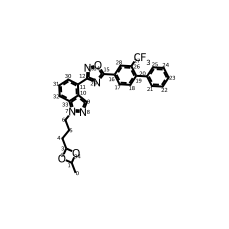 CC1OC(CCCn2ncc3c(-c4noc(-c5ccc(-c6ccccc6)c(C(F)(F)F)c5)n4)cccc32)O1